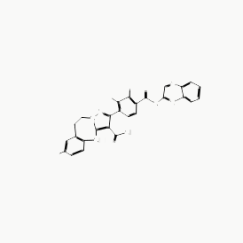 Cc1ccc2c(c1)CCn1nc(-c3ccc(C(=O)Nc4cnc5ccccc5n4)c(C)c3F)c(C(N)=O)c1N2